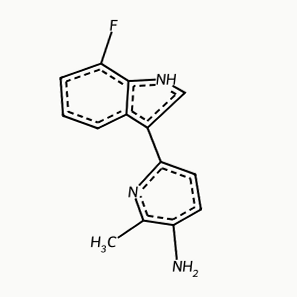 Cc1nc(-c2c[nH]c3c(F)cccc23)ccc1N